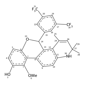 COc1c(O)ccc2c1-c1ccc3c(c1C(c1cc(C(F)(F)F)cc(C(F)(F)F)c1)O2)C(C)=CC(C)(C)N3